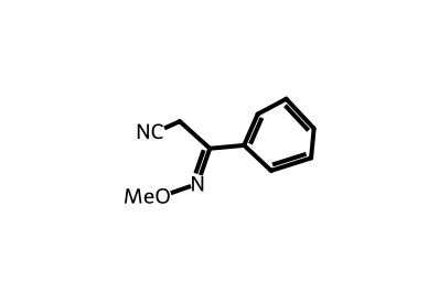 CON=C(CC#N)c1ccccc1